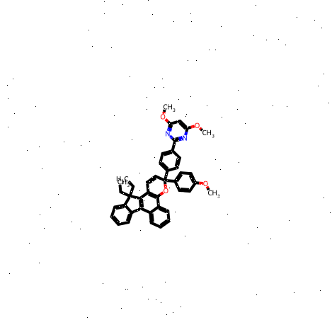 CCC1(CC)c2ccccc2-c2c1c1c(c3ccccc23)OC(c2ccc(OC)cc2)(c2ccc(-c3nc(OC)cc(OC)n3)cc2)C=C1